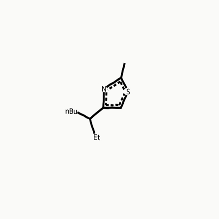 CCCCC(CC)c1csc(C)n1